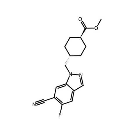 COC(=O)[C@H]1CC[C@H](Cn2ncc3cc(F)c(C#N)cc32)CC1